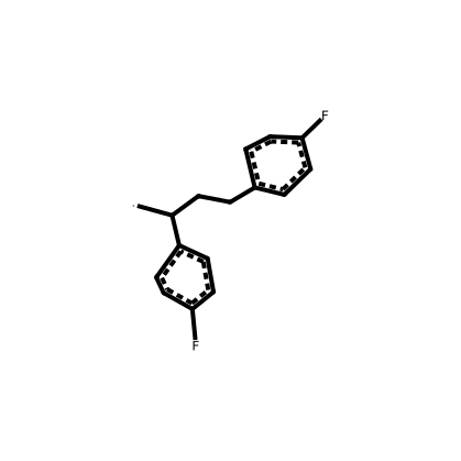 [CH2]C(CCc1ccc(F)cc1)c1ccc(F)cc1